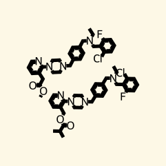 CCN(Cc1ccc(CN2CCN(c3ncccc3CC(=O)OC)CC2)cc1)Cc1c(F)cccc1Cl.CCN(Cc1ccc(CN2CCN(c3ncccc3COC(=O)C(C)C)CC2)cc1)Cc1c(F)cccc1Cl